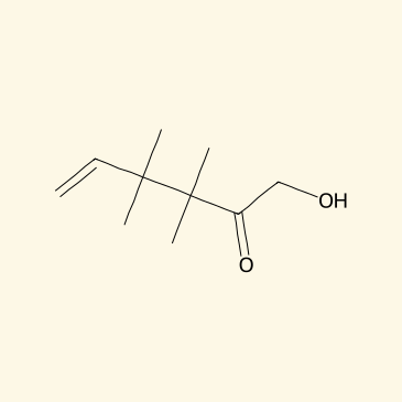 C=CC(C)(C)C(C)(C)C(=O)CO